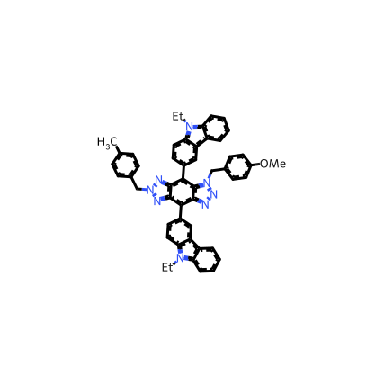 CCn1c2ccccc2c2cc(-c3c4nn(Cc5ccc(C)cc5)nc4c(-c4ccc5c(c4)c4ccccc4n5CC)c4c3nnn4Cc3ccc(OC)cc3)ccc21